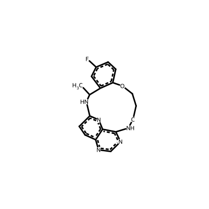 CC1Nc2ccc3ncnc(c3n2)NCCCOc2ccc(F)cc21